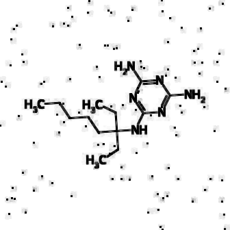 CCCCCC(CC)(CC)Nc1nc(N)nc(N)n1